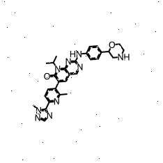 Cc1nc(-c2ncnn2C)ccc1-c1cc2cnc(Nc3ccc(C4CNCCO4)cc3)nc2n(C(C)C)c1=O